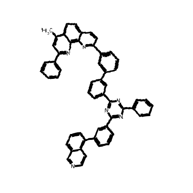 Cc1cc(-c2ccccc2)nc2c1ccc1ccc(-c3cccc(-c4cccc(-c5nc(-c6ccccc6)nc(-c6cccc(-c7cccc8cnccc78)c6)n5)c4)c3)nc12